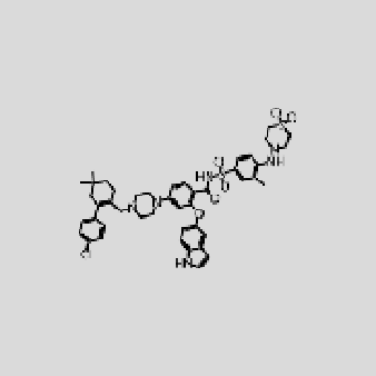 Cc1cc(S(=O)(=O)NC(=O)c2ccc(N3CCN(CC4=C(c5ccc(Cl)cc5)CC(C)(C)CC4)CC3)cc2Oc2ccc3[nH]ccc3c2)ccc1NN1CCS(=O)(=O)CC1